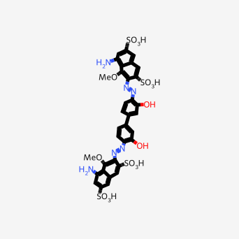 COc1c(N=Nc2ccc(-c3ccc(N=Nc4c(S(=O)(=O)O)cc5cc(S(=O)(=O)O)cc(N)c5c4OC)c(O)c3)cc2O)c(S(=O)(=O)O)cc2cc(S(=O)(=O)O)cc(N)c12